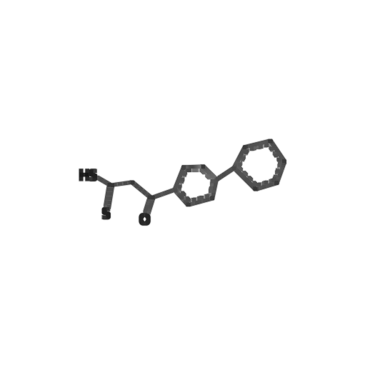 O=C(CC(=S)S)c1ccc(-c2ccccc2)cc1